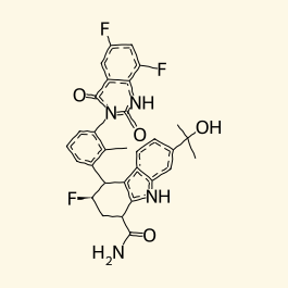 Cc1c(C2c3c([nH]c4cc(C(C)(C)O)ccc34)C(C(N)=O)C[C@H]2F)cccc1-n1c(=O)[nH]c2c(F)cc(F)cc2c1=O